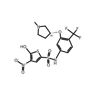 CN1CC[C@@H](Oc2cc(NS(=O)(=O)c3cc([N+](=O)[O-])c(O)s3)ccc2C(F)(F)F)C1